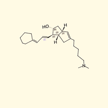 CN(C)CCCCCC1=C[C@H]2C[C@@H](O)[C@H](/C=C/C=C3CCCCC3)[C@H]2C1